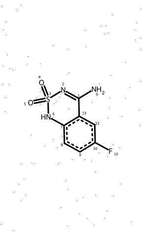 NC1=NS(=O)(=O)Nc2ccc(F)cc21